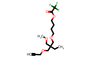 C#CCOCC(CC)(COC)COCCCCOC(=O)C(F)(F)F